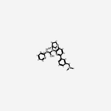 CN(C)Cc1cccc(-c2ccc3c(n2)N(C(O)Nc2ccccn2)[C@H]2CCN3C2)c1